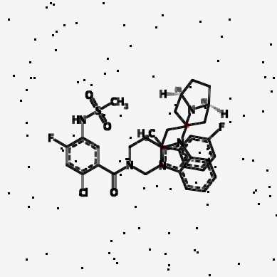 Cc1nc2ccccc2n1C1C[C@H]2CC[C@@H](C1)N2CCC1(c2cccc(F)c2)CCN(C(=O)c2cc(NS(C)(=O)=O)c(F)cc2Cl)CC1